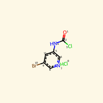 Cl.O=C(Cl)Nc1cncc(Br)c1